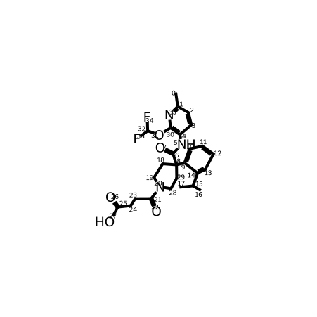 Cc1ccc(NC(=O)C2(c3ccccc3C(C)C)CCN(C(=O)CCC(=O)O)CC2)c(OC(F)F)n1